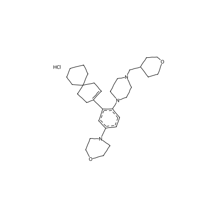 C1=C(c2cc(N3CCOCC3)ccc2N2CCN(CC3CCOCC3)CC2)CCC2(C1)CCCCC2.Cl